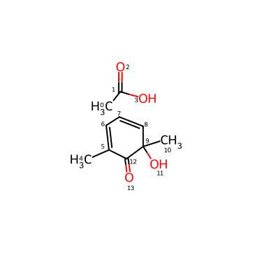 CC(=O)O.CC1=CC=CC(C)(O)C1=O